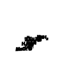 COCC[S@@+]([O-])c1sc2nc(-c3cnc(N)nc3)cc(-c3ccccc3)c2c1N